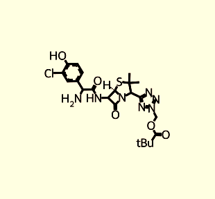 CC(C)(C)C(=O)OCn1nnc(C2N3C(=O)C(NC(=O)C(N)c4ccc(O)c(Cl)c4)[C@H]3SC2(C)C)n1